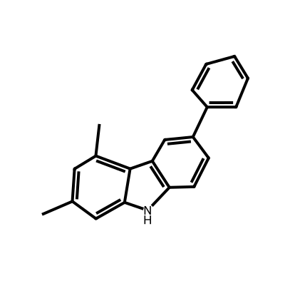 Cc1cc(C)c2c(c1)[nH]c1ccc(-c3ccccc3)cc12